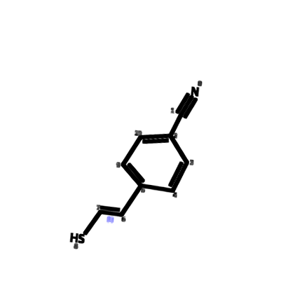 N#Cc1ccc(/C=C/S)cc1